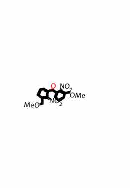 COCc1cccc(C(=O)c2cccc(COC)c2[N+](=O)[O-])c1[N+](=O)[O-]